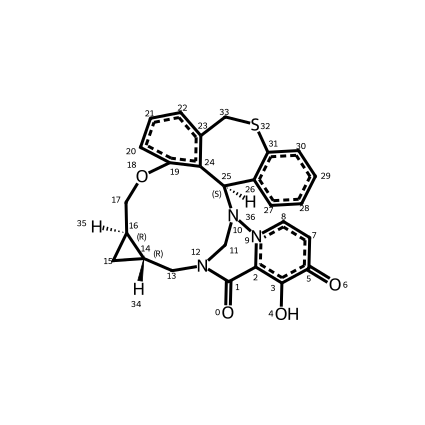 O=C1c2c(O)c(=O)ccn2N2CN1C[C@@H]1C[C@H]1COc1cccc3c1[C@H]2c1ccccc1SC3